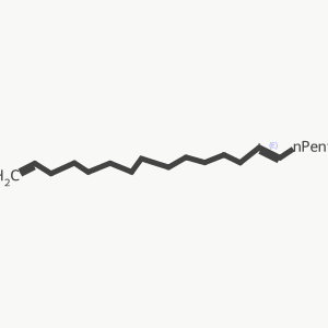 C=CCCCCCCCCCCC/[C]=C/CCCCC